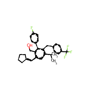 CC(C)c1cc(C=C2CCCC2)c(CO)c(-c2ccc(F)cc2)c1Cc1ccc(C(F)(F)F)cc1